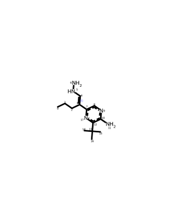 CCC/C(=C\NN)c1cnc(N)c(C(C)(C)C)n1